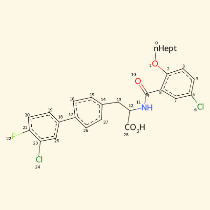 CCCCCCCOc1ccc(Cl)cc1C(=O)NC(Cc1ccc(-c2ccc(F)c(Cl)c2)cc1)C(=O)O